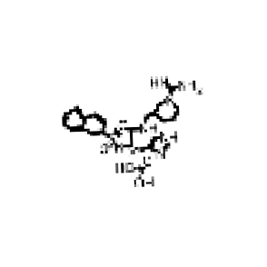 N=C(N)N1CCCC(CNC(=O)[C@@H](Cc2c[nH]cn2)NS(=O)(=O)c2ccc3ccccc3c2)C1.O=S(O)O